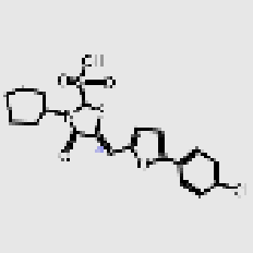 O=C1/C(=C/c2ccc(-c3ccc(Cl)cc3)o2)SC(S(=O)(=O)O)N1C1CCCCC1